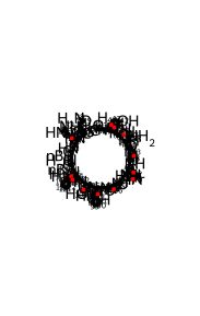 CCCC[C@H]1C(=O)N(C)[C@@H](CCCC)C(=O)N[C@@H](CCCNC(=N)N)C(=O)NC(C(=O)NCC(N)=O)CSCC(=O)N[C@@H](Cc2ccc(O)cc2)C(=O)N(C)[C@@H](C)C(=O)N[C@@H](CC(N)=O)C(=O)N2CCC[C@H]2C(=O)N[C@@H](Cc2cnc[nH]2)C(=O)N[C@@H](CC(C)C)C(=O)N2CCC[C@H]2C(=O)N[C@@H](Cc2c[nH]c3ccccc23)C(=O)N[C@@H](CCO)C(=O)N[C@@H](Cc2c[nH]c3ccccc23)C(=O)N1C